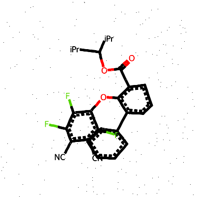 CC(C)C(OC(=O)c1cccc(-c2ccccc2)c1Oc1c(F)c(F)c(C#N)c(C#N)c1F)C(C)C